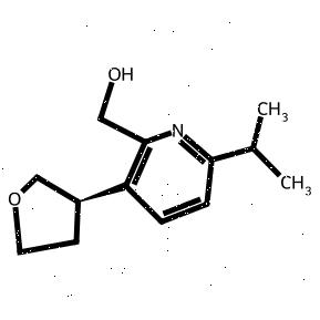 CC(C)c1ccc([C@H]2CCOC2)c(CO)n1